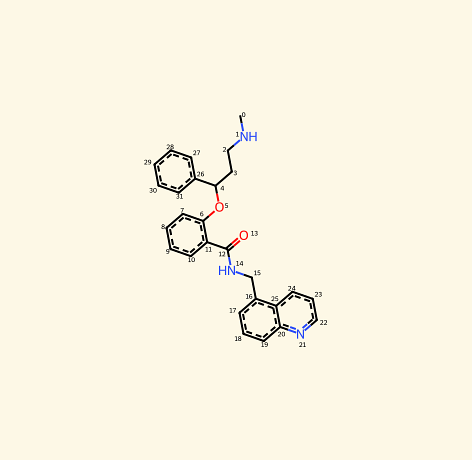 CNCCC(Oc1ccccc1C(=O)NCc1cccc2ncccc12)c1ccccc1